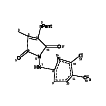 CCCCCC1=C(C)C(=O)N(Nc2ccc(C(F)(F)F)c(Cl)n2)C1=O